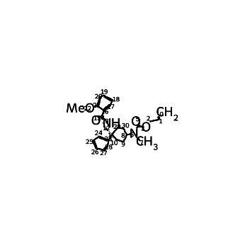 C=CCOC(=O)N(C)[C@H]1CC[C@@](CNC(=O)c2ccccc2OC)(c2ccccc2)CC1